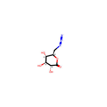 [N-]=[N+]=NC[C@H]1OC(=O)[C@H](O)[C@@H](O)[C@@H]1O